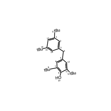 CC(C)(C)c1cc(Cc2cc(C(C)(C)C)c(O)c(C(C)(C)C)c2)cc(C(C)(C)C)c1